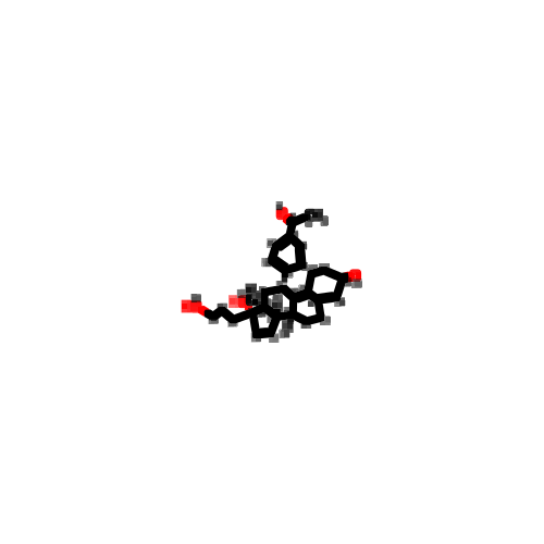 CC(=O)c1ccc([C@H]2C[C@@]3(C)[C@@H](C=C[C@@]3(O)CCCO)[C@@H]3CCC4=CC(=O)CCC4=C32)cc1